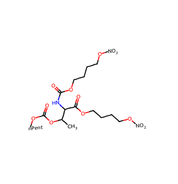 CCCCCOC(=O)OC(C)C(NC(=O)OCCCCO[N+](=O)[O-])C(=O)OCCCCO[N+](=O)[O-]